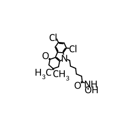 CC1(C)CC(=O)c2c(n(CCCCCC(=O)NO)c3c(Cl)cc(Cl)cc23)C1